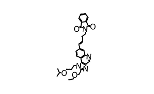 CCOCc1nc2cnc3cc(C=CCCN4C(=O)c5ccccc5C4=O)ccc3c2n1CCCOC(C)C